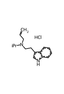 C=CCN(CCc1c[nH]c2ccccc12)C(C)C.Cl